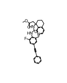 COC(=O)C[C@@]1(NC(=O)Nc2c(F)cc(C#Cc3ccccc3)cc2F)CCCc2ccncc21